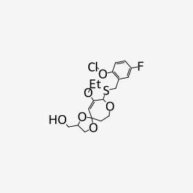 CCOC1=CC2(CCOC1SCc1cc(F)ccc1OCl)OCC(CO)O2